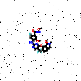 CONC(=O)c1cc(OC)c(Nc2ncc(C(F)(F)F)c(Oc3cccc4c3C(=O)N(C)C4)n2)cc1F